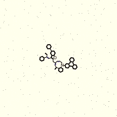 C=C/C(=C\c1c(CC2=C/C(=C)c3ccccc3N(c3ccc4c5ccccc5c5ccccc5c4c3)C/C=C\2)oc2ccc(-c3ccccc3)cc12)c1ccccc1